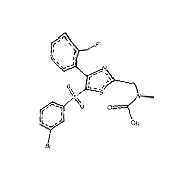 CN(Cc1nc(-c2ccccc2F)c(S(=O)(=O)c2cccc(Br)c2)s1)C(=O)O